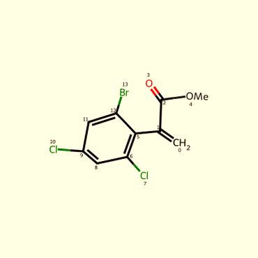 C=C(C(=O)OC)c1c(Cl)cc(Cl)cc1Br